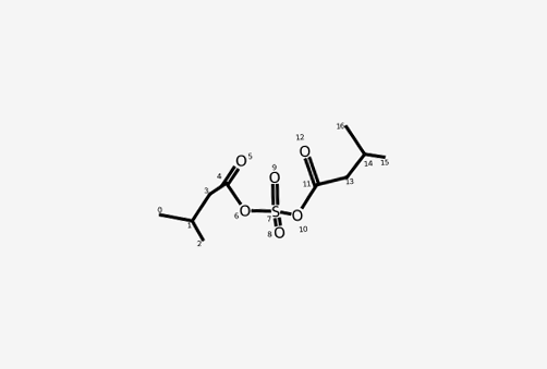 CC(C)CC(=O)OS(=O)(=O)OC(=O)CC(C)C